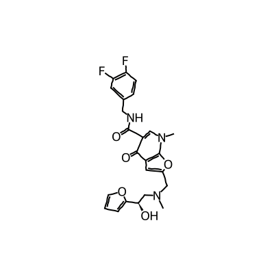 CN(Cc1cc2c(=O)c(C(=O)NCc3ccc(F)c(F)c3)cn(C)c2o1)C[C@@H](O)c1ccco1